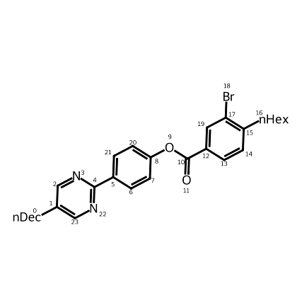 CCCCCCCCCCc1cnc(-c2ccc(OC(=O)c3ccc(CCCCCC)c(Br)c3)cc2)nc1